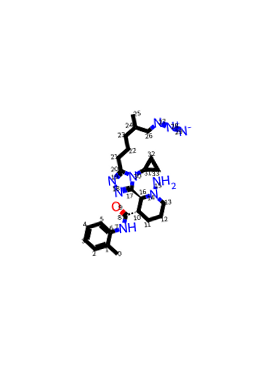 Cc1ccccc1NC(=O)[C@H]1CCCN(N)[C@@H]1c1nnc(CCCC(C)CN=[N+]=[N-])n1C1CC1